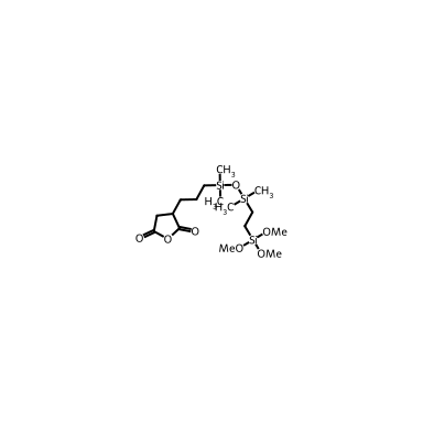 CO[Si](CC[Si](C)(C)O[Si](C)(C)CCCC1CC(=O)OC1=O)(OC)OC